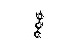 Cc1ncc(-c2ccc(-c3cccnc3)cn2)cn1